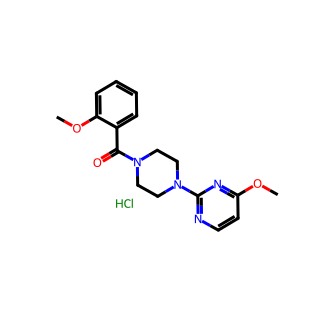 COc1ccnc(N2CCN(C(=O)c3ccccc3OC)CC2)n1.Cl